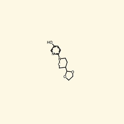 Oc1ccc(N2CCC(C3OCCO3)CC2)nc1